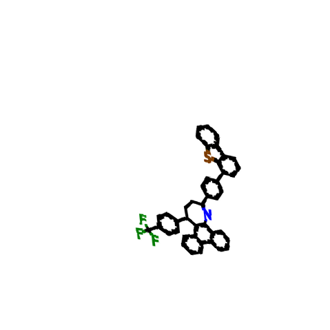 FC(F)(F)c1ccc(C2CCC(c3ccc(-c4cccc5c4sc4ccccc45)cc3)=Nc3c2c2ccccc2c2ccccc32)cc1